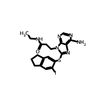 CCNC(=O)CCn1c(Sc2cc3c(cc2I)CCC3)nc2c(N)ncnc21